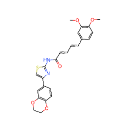 COc1ccc(/C=C/C=C/C(=O)Nc2nc(-c3ccc4c(c3)OCCO4)cs2)cc1OC